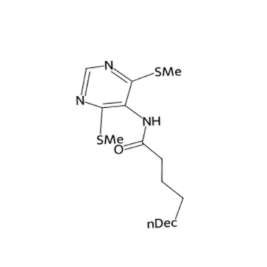 CCCCCCCCCCCCCC(=O)Nc1c(SC)ncnc1SC